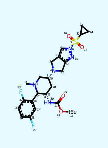 CN1C[C@H](N2Cc3cn(S(=O)(=O)C4CC4)nc3C2)C[C@H](NC(=O)OC(C)(C)C)C1c1cc(F)ccc1F